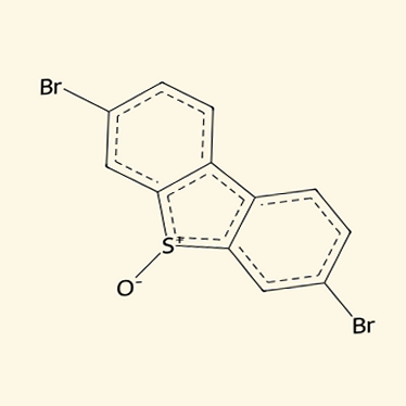 [O-][s+]1c2cc(Br)ccc2c2ccc(Br)cc21